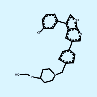 OCNC1CCN(Cc2ccc(-c3cnc4[nH]cc(-c5cccc(Cl)c5)c4c3)cc2)CC1